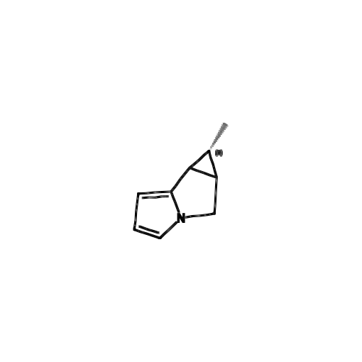 C[C@@H]1C2Cn3cccc3C21